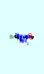 CC(C)(C)OC(=O)N1CC(CNc2nc3ncc(Br)cc3nc2NN)C1